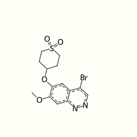 COc1cc2nncc(Br)c2cc1OC1CCS(=O)(=O)CC1